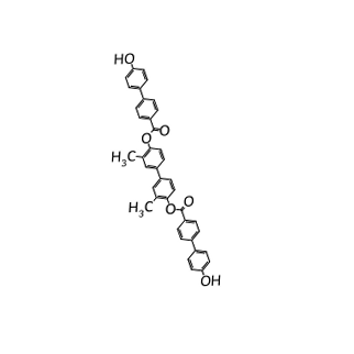 Cc1cc(-c2ccc(OC(=O)c3ccc(-c4ccc(O)cc4)cc3)c(C)c2)ccc1OC(=O)c1ccc(-c2ccc(O)cc2)cc1